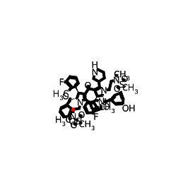 Cc1c(F)cccc1[C@H]1C(C(=O)C2=C(C3CCCNC3)N(CCN(C)S(C)(=O)=O)[C@H](C(=O)c3cccc(O)c3)[C@H]2c2cccc(F)c2C)=C(C2CCCNC2)N(CCN(C)S(C)(=O)=O)[C@@H]1C(=O)c1cccc(O)c1